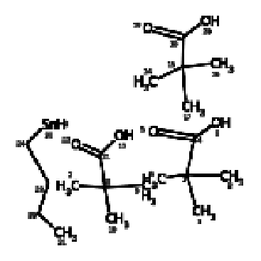 CC(C)(C)C(=O)O.CC(C)(C)C(=O)O.CC(C)(C)C(=O)O.CCC[CH2][SnH]